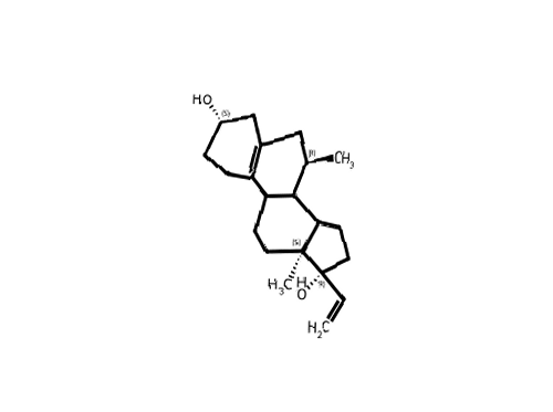 C=C[C@]1(O)CCC2C3C(CC[C@@]21C)C1=C(C[C@@H](O)CC1)C[C@H]3C